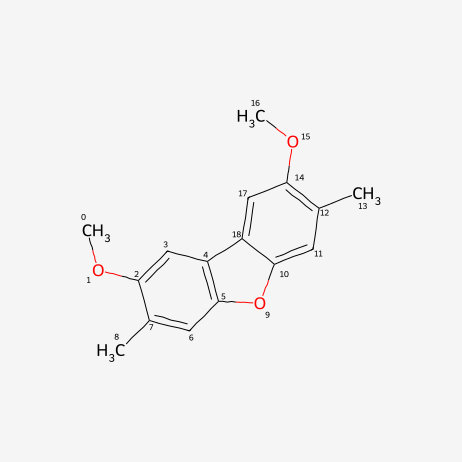 COc1cc2c(cc1C)oc1cc(C)c(OC)cc12